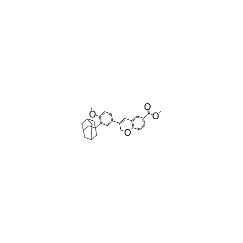 COC(=O)c1ccc2c(c1)C=C(c1ccc(OC)c(C34CC5CC(CC(C5)C3)C4)c1)CO2